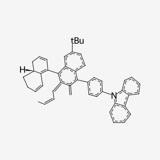 C=c1c(-c2ccc(-n3c4ccccc4c4ccccc43)cc2)c2ccc(C(C)(C)C)cc2c(C2=C3C=CCC[C@@H]3CC=C2)/c1=C/C=C\C